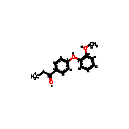 CCC(=O)c1ccc(Oc2ccccc2OC)cc1